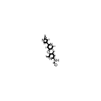 Cc1cc(N[C]=O)nc(C)c1Oc1ccnc(-c2cnn(C)c2)c1